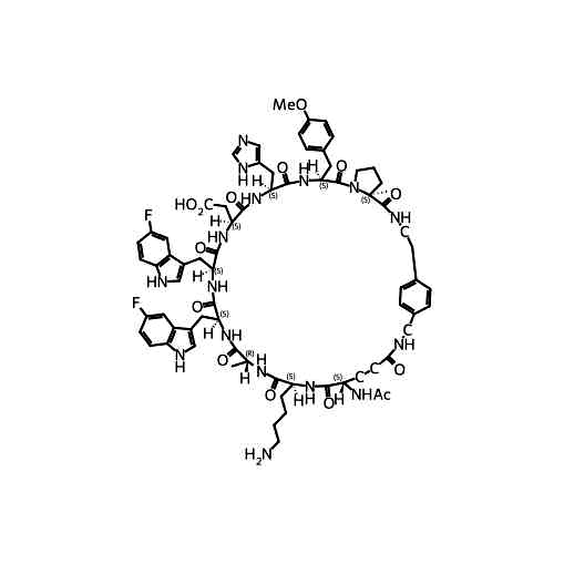 COc1ccc(C[C@@H]2NC(=O)[C@H](Cc3cnc[nH]3)NC(=O)[C@H](CC(=O)O)NC(=O)[C@H](Cc3c[nH]c4ccc(F)cc34)NC(=O)[C@H](Cc3c[nH]c4ccc(F)cc34)NC(=O)[C@@H](C)NC(=O)[C@H](CCCCN)NC(=O)[C@@H](NC(C)=O)CCC(=O)NCc3ccc(cc3)CCNC(=O)[C@]3(C)CCCN3C2=O)cc1